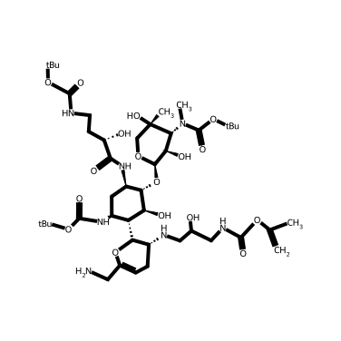 C=C(C)OC(=O)NCC(O)CN[C@@H]1CC=C(CN)OC1[C@H]1[C@H](O)[C@@H](O[C@H]2OC[C@](C)(O)[C@H](N(C)C(=O)OC(C)(C)C)[C@H]2O)[C@H](NC(=O)[C@@H](O)CCNC(=O)OC(C)(C)C)C[C@@H]1NC(=O)OC(C)(C)C